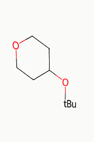 CC(C)(C)OC1CCOCC1